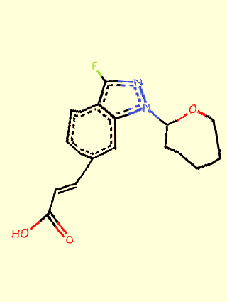 O=C(O)/C=C/c1ccc2c(F)nn(C3CCCCO3)c2c1